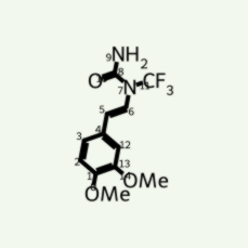 COc1ccc(C=CN(C(N)=O)C(F)(F)F)cc1OC